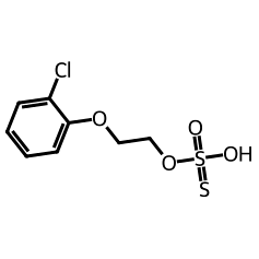 O=S(O)(=S)OCCOc1ccccc1Cl